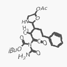 CC(=O)OC1CNC(C(CCc2ccccc2)C(C)C(=C=O)N(C(N)=O)C(=O)OCC(C)C)O1